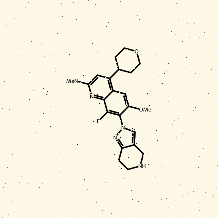 CNc1cc(C2CCOCC2)c2cc(OC)c(-n3cc4c(n3)CCNC4)c(F)c2n1